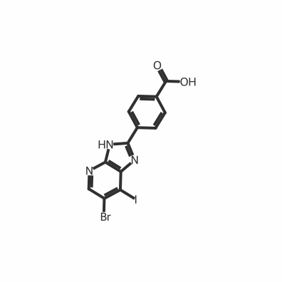 O=C(O)c1ccc(-c2nc3c(I)c(Br)cnc3[nH]2)cc1